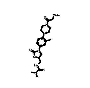 COCC(=O)N1CCN(c2ccc(N3CC(CNC(=S)N(C)C)OC3=O)cc2F)CC1